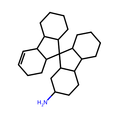 NC1CCC2C3CCCCC3C3(C4CCC=CC4C4CCCCC43)C2C1